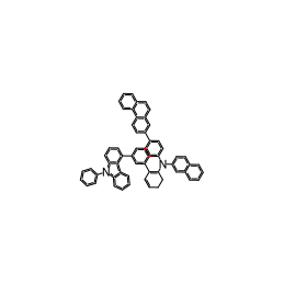 C1=CC(c2cccc(-c3cccc4c3c3ccccc3n4-c3ccccc3)c2)=C(N(c2ccc(-c3ccc4c(ccc5ccccc54)c3)cc2)c2ccc3ccccc3c2)CC1